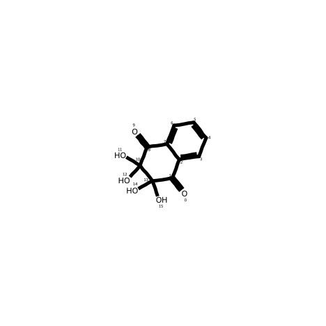 O=C1c2ccccc2C(=O)C(O)(O)C1(O)O